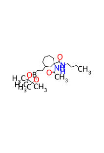 CCCCNC(=O)C1(NC(C)=O)CCCCC(CCB2OC(C)(C)C(C)(C)O2)C1